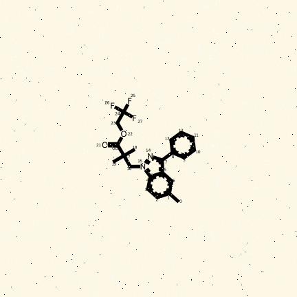 Cc1ccc2c(c1)c(-c1ccccc1)nn2CC(C)(C)C(=O)OCC(F)(F)F